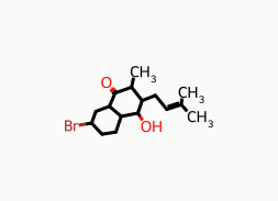 CC(C)=CCC1C(C)C(=O)C2CC(Br)CCC2C1O